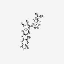 Cc1cc2ncnn2cc1Nc1ncc2c(n1)n(C1C3CC4CC1CC(C(=O)O)(C4)C3)c(=O)n2C